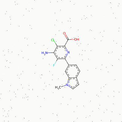 Cn1ccc2ccc(-c3nc(C(=O)O)c(Cl)c(N)c3F)cc21